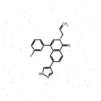 C=CCn1cc(-c2cccc(F)c2)c2cc(-c3cn[nH]c3)ccc2c1=O